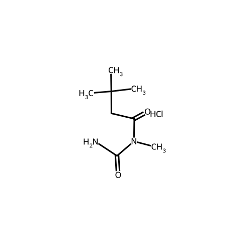 CN(C(N)=O)C(=O)CC(C)(C)C.Cl